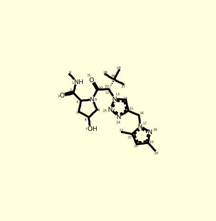 CNC(=O)C1CC(O)CN1C(=O)[C@@H](n1cc(Cn2nc(C)cc2C)nn1)C(C)(C)C